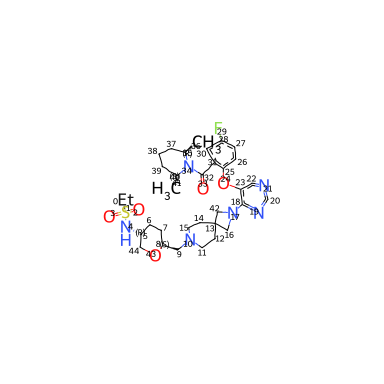 CCS(=O)(=O)N[C@@H]1CC[C@@H](CN2CCC3(CC2)CN(c2ncncc2Oc2ccc(F)cc2C(=O)N2[C@H](C)CCC[C@@H]2C)C3)OC1